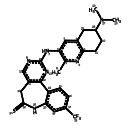 Cc1nc2c(cc1Nc1ncc3c(n1)-c1ccc(C(F)(F)F)cc1NC(=S)C3)CC(N(C)C)CC2